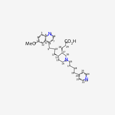 COc1ccc2nccc(CCC[C@@H]3CCN(CCCCc4ccncc4)C[C@@H]3CCC(=O)O)c2c1